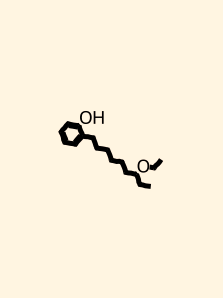 CCOC(CC)CCCCCCc1ccccc1O